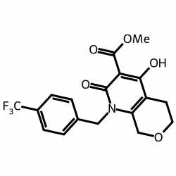 COC(=O)c1c(O)c2c(n(Cc3ccc(C(F)(F)F)cc3)c1=O)COCC2